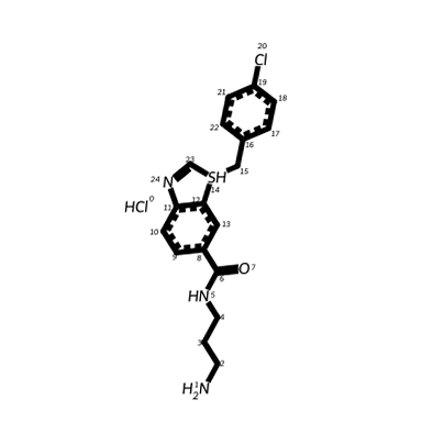 Cl.NCCCNC(=O)c1ccc2c(c1)[SH](Cc1ccc(Cl)cc1)C=N2